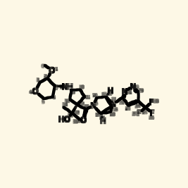 CO[C@@H]1COCC[C@@H]1N[C@@H]1CC[C@@](C(=O)N2C[C@@H]3C[C@H]2CN3c2cc(C(F)(F)F)cnn2)(C(C)(C)O)C1